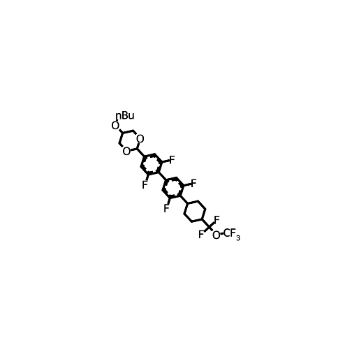 CCCCOC1COC(c2cc(F)c(-c3cc(F)c(C4CCC(C(F)(F)OC(F)(F)F)CC4)c(F)c3)c(F)c2)OC1